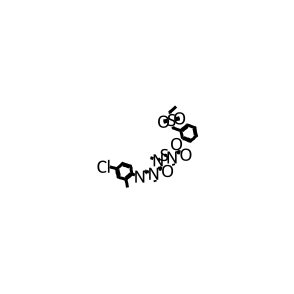 CCS(=O)(=O)Cc1ccccc1OC(=O)N(C)SN(C)C(=O)N(C)C=Nc1ccc(Cl)cc1C